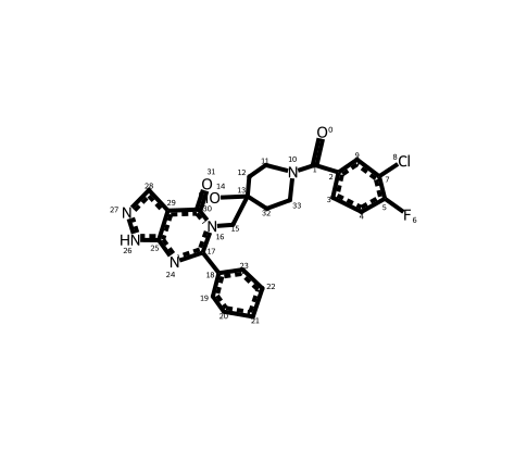 O=C(c1ccc(F)c(Cl)c1)N1CCC(O)(Cn2c(-c3ccccc3)nc3[nH]ncc3c2=O)CC1